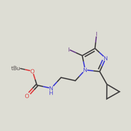 CC(C)(C)OC(=O)NCCn1c(C2CC2)nc(I)c1I